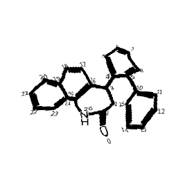 O=C1CC(c2ccccc2-c2ccccc2)c2ccc3ccccc3c2N1